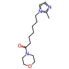 Cc1n[c]cn1CCCCCCC(=O)N1CCOCC1